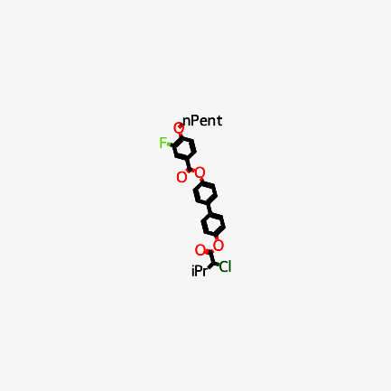 CCCCCOc1ccc(C(=O)Oc2ccc(-c3ccc(OC(=O)C(Cl)C(C)C)cc3)cc2)cc1F